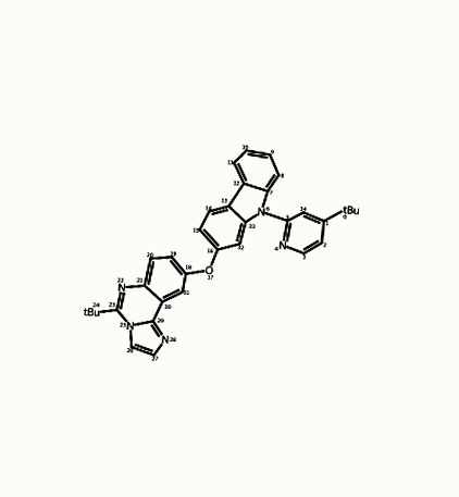 CC(C)(C)c1ccnc(-n2c3ccccc3c3ccc(Oc4ccc5nc(C(C)(C)C)n6ccnc6c5c4)cc32)c1